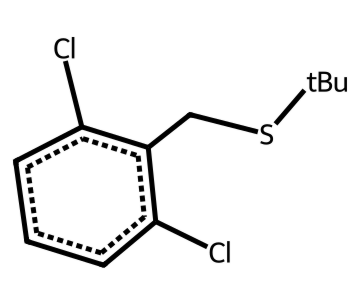 CC(C)(C)SCc1c(Cl)cccc1Cl